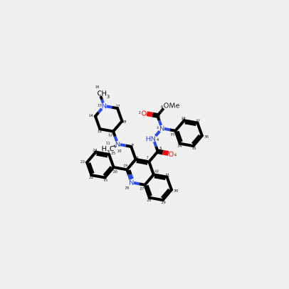 COC(=O)N(NC(=O)c1c(CN(C)C2CCN(C)CC2)c(-c2ccccc2)nc2ccccc12)c1ccccc1